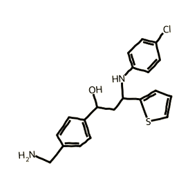 NCc1ccc(C(O)CC(Nc2ccc(Cl)cc2)c2cccs2)cc1